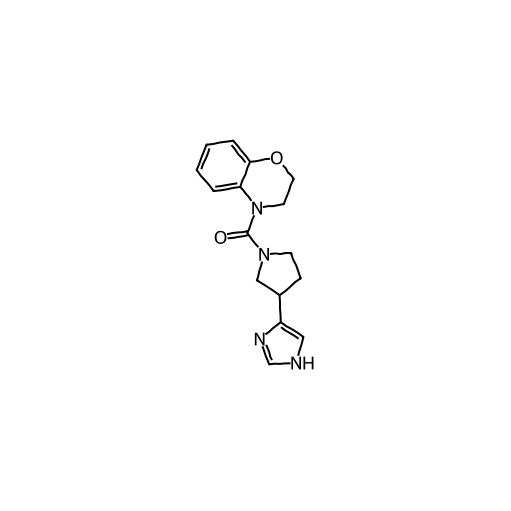 O=C(N1CCC(c2c[nH]cn2)C1)N1CCOc2ccccc21